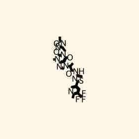 Cc1nc(Cn2c(=O)c3c(ncn3C(C)C(=O)Nc3csc(-c4cnc(C)c(C(F)(F)F)c4)n3)n(C)c2=O)no1